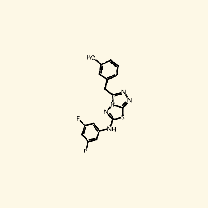 Oc1cccc(Cc2nnc3sc(Nc4cc(F)cc(F)c4)nn23)c1